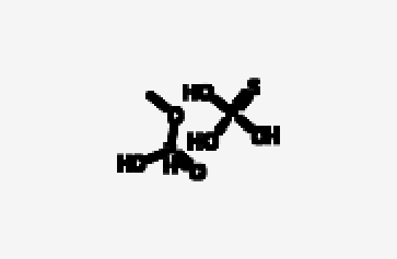 CO[PH](=O)O.OP(O)(O)=S